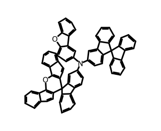 c1ccc2c(c1)-c1ccccc1C21c2ccccc2-c2cc(N(c3ccc4c(c3)C3(c5ccccc5-4)c4ccc5ccccc5c4Oc4c3ccc3ccccc43)c3ccc4oc5ccccc5c4c3)ccc21